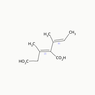 C/C=C(C)/C(C(=O)O)=C(\C)CC(=O)O